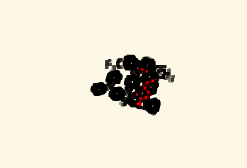 Cc1ccc(-c2c(-n3c4cc(C(F)(F)F)ccc4c4ccc(C(F)(F)F)cc43)ccc(N3c4cc(N(c5ccccc5)c5ccccc5)ccc4Sc4ccc(N(c5ccccc5)c5ccccc5)cc43)c2-c2cc(C)ccc2C#N)c(C#N)c1